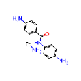 CCN.Nc1ccc(NC(=O)c2ccc(N)cc2)cc1